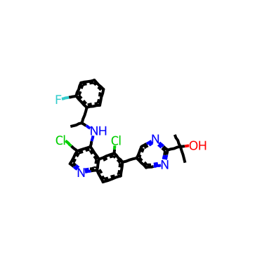 CC(Nc1c(Cl)cnc2ccc(-c3cnc(C(C)(C)O)nc3)c(Cl)c12)c1ccccc1F